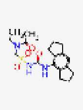 CCN(CS(=O)(=O)NC(=O)Nc1c2c(cc3c1CCC3)CCC2)C(C)=O